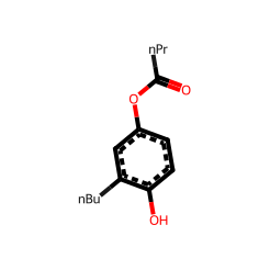 CCCCc1cc(OC(=O)CCC)ccc1O